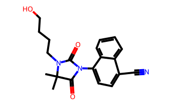 CC1(C)C(=O)N(c2ccc(C#N)c3ccccc23)C(=O)N1CCCCO